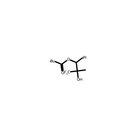 CCC(C)C(=O)OC(C(C)C)C(C)(O)C(F)(F)F